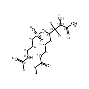 CCC(=O)OCCCC(OS(=O)(=O)CCCNC(C)=O)C(C)(C)[C@@H](O)C(=O)O